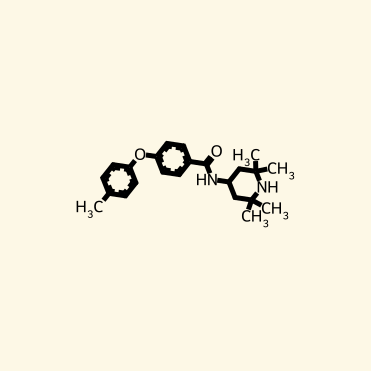 Cc1ccc(Oc2ccc(C(=O)NC3CC(C)(C)NC(C)(C)C3)cc2)cc1